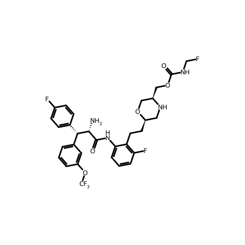 N[C@H](C(=O)Nc1cccc(F)c1CC[C@@H]1CN[C@H](COC(=O)NCF)CO1)[C@@H](c1ccc(F)cc1)c1cccc(OC(F)(F)F)c1